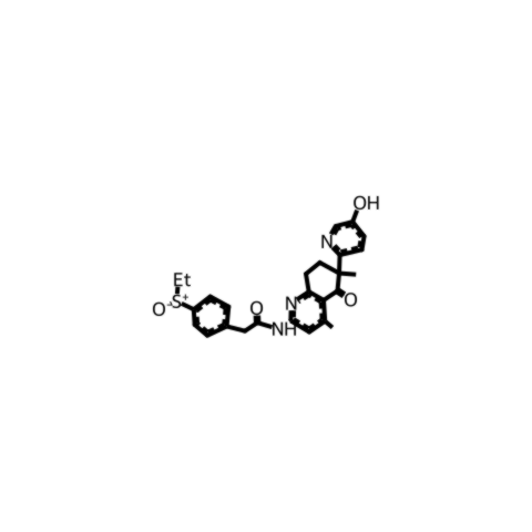 CC[S+]([O-])c1ccc(CC(=O)Nc2cc(C)c3c(n2)CCC(C)(c2ccc(O)cn2)C3=O)cc1